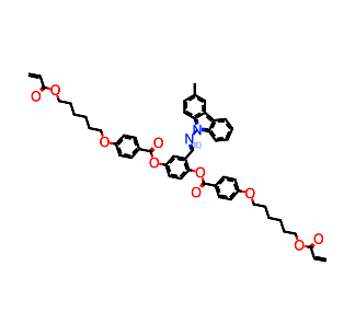 C=CC(=O)OCCCCCCOc1ccc(C(=O)Oc2ccc(OC(=O)c3ccc(OCCCCCCOC(=O)C=C)cc3)c(/C=N/n3c4ccccc4c4cc(C)ccc43)c2)cc1